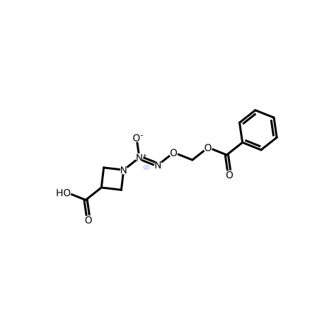 O=C(OCO/N=[N+](\[O-])N1CC(C(=O)O)C1)c1ccccc1